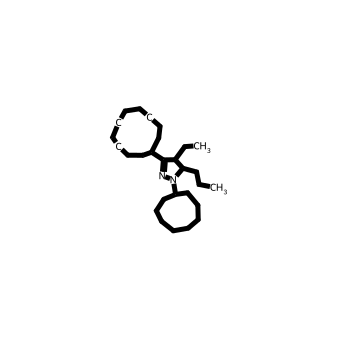 CCCC1C(CC)C(C2CCCCCCCCCC2)=NN1C1CCCCCCCC1